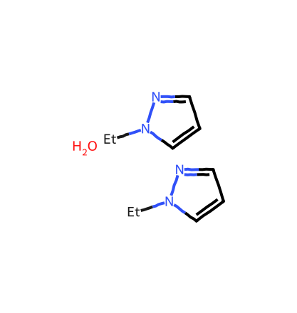 CCn1cccn1.CCn1cccn1.O